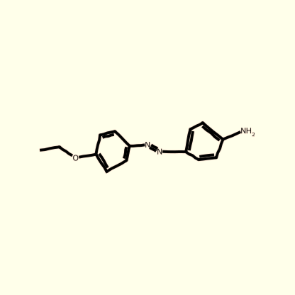 CCOc1ccc(N=Nc2ccc(N)cc2)cc1